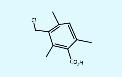 Cc1cc(C)c(C(=O)O)c(C)c1CCl